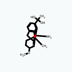 COC1CCC2(CC1)Cc1ccc(C(C)(O)O)cc1C21N=C(N)N(C)C1=O